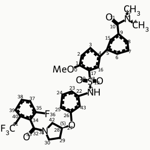 COc1ccc(-c2cccc(C(=O)N(C)C)c2)cc1S(=O)(=O)Nc1cccc(O[C@H]2CCN(C(=O)c3c(F)cccc3C(F)(F)F)C2)c1